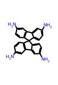 Nc1ccc2c(c1)-c1cc(N)ccc1C21c2ccc(N)cc2-c2cc(N)ccc21